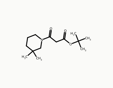 CC1(C)CCCN(C(=O)CC(=O)OC(C)(C)C)C1